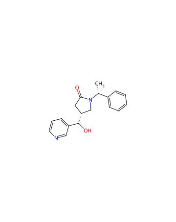 C[C@H](c1ccccc1)N1C[C@H](C(O)c2cccnc2)CC1=O